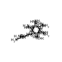 CCCCCCCCCCNC(=O)CC[C@@H]1NC(=O)[C@H](CCC(=O)NCCOCCOCC(=O)NC(CCCCN)C(N)=O)NC(=O)[C@@H](CCCNC(=N)N)NC(=O)[C@H](CCCNC(=N)N)NC(=O)[C@@H](CCCNC(=N)N)NC(=O)[C@H](CCCNC(=N)N)NC1=O